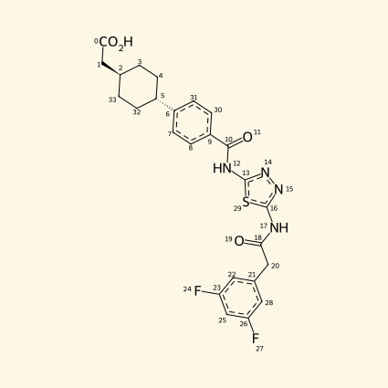 O=C(O)C[C@H]1CC[C@H](c2ccc(C(=O)Nc3nnc(NC(=O)Cc4cc(F)cc(F)c4)s3)cc2)CC1